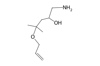 C=CCOC(C)(C)CC(O)CN